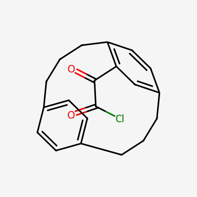 O=C(Cl)C(=O)c1cc2ccc1CCCc1ccc(cc1)CCC2